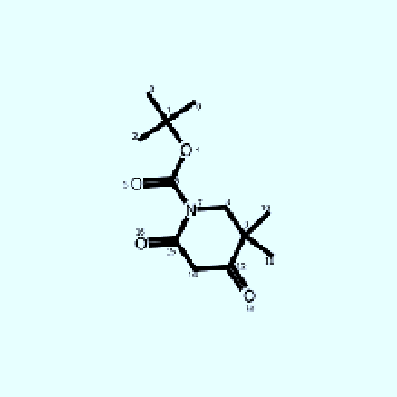 CC(C)(C)OC(=O)N1CC(C)(C)C(=O)CC1=O